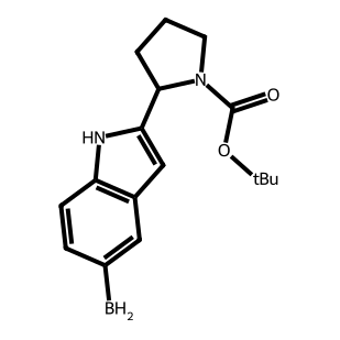 Bc1ccc2[nH]c(C3CCCN3C(=O)OC(C)(C)C)cc2c1